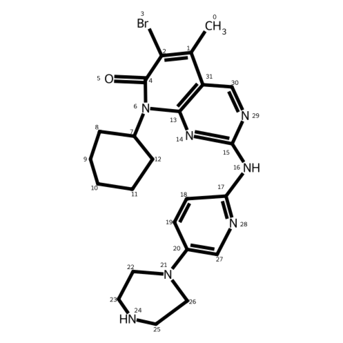 Cc1c(Br)c(=O)n(C2CCCCC2)c2nc(Nc3ccc(N4CCNCC4)cn3)ncc12